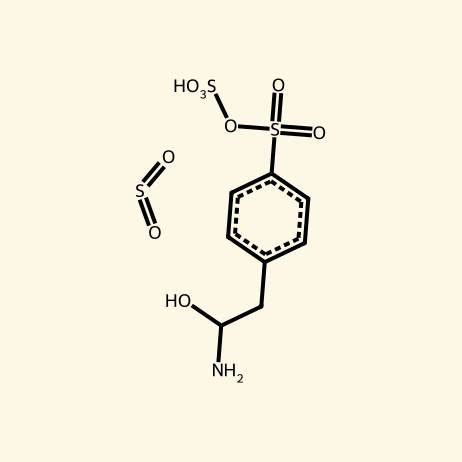 NC(O)Cc1ccc(S(=O)(=O)OS(=O)(=O)O)cc1.O=S=O